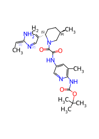 C=C(/C=N\C(N)=C/C)[C@@H]1CC[C@@H](C)CN1C(=O)C(=O)Nc1cnc(NC(=O)OC(C)(C)C)c(C)c1